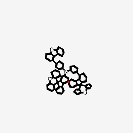 c1cc(-c2cccc3c2-c2ccccc2C32c3ccccc3Oc3ccccc32)cc(N(c2ccc(-c3cccc4oc5ccccc5c34)cc2)c2ccc3c(c2)C2(c4ccccc4Oc4ccccc42)c2ccccc2-3)c1